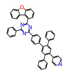 c1ccc(-c2nc(-c3ccc(-c4cc(-c5ccccc5)c(-c5ccncc5)cc4-c4ccccc4)cc3)nc(-c3cccc4oc5ccccc5c34)n2)cc1